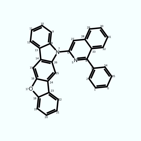 c1ccc(-c2nc(-n3c4ccccc4c4cc5oc6ccccc6c5cc43)cc3ccccc23)cc1